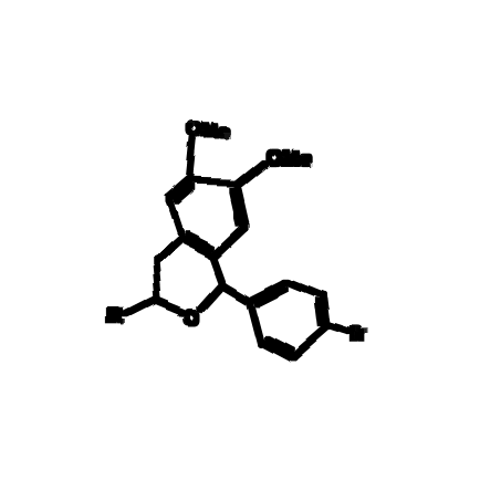 CCC1Cc2cc(OC)c(OC)cc2C(c2ccc(Br)cc2)O1